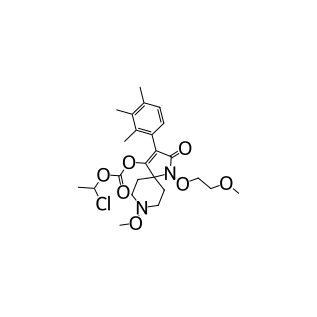 COCCON1C(=O)C(c2ccc(C)c(C)c2C)=C(OC(=O)OC(C)Cl)C12CCN(OC)CC2